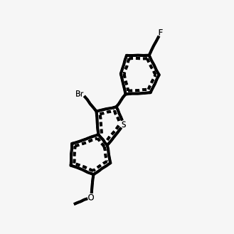 COc1ccc2c(Br)c(-c3ccc(F)cc3)sc2c1